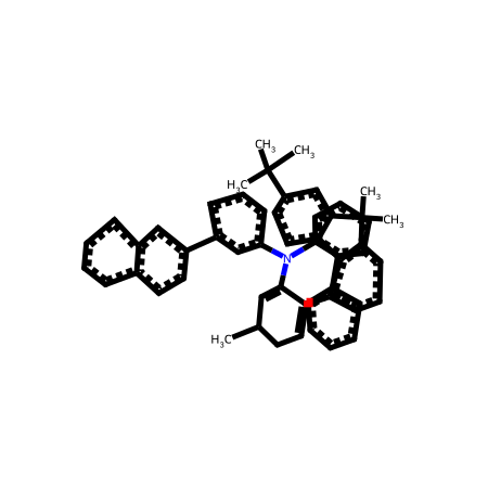 CC1C=C(N(c2cccc(-c3ccc4ccccc4c3)c2)c2ccccc2-c2ccccc2)C(c2cccc3c2-c2ccc(C(C)(C)C)cc2C3(C)C)=CC1